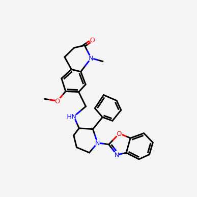 COc1cc2c(cc1CNC1CCCN(c3nc4ccccc4o3)C1c1ccccc1)N(C)C(=O)CC2